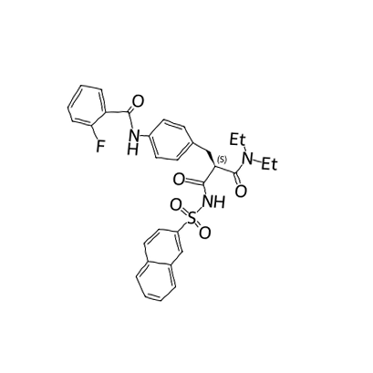 CCN(CC)C(=O)[C@H](Cc1ccc(NC(=O)c2ccccc2F)cc1)C(=O)NS(=O)(=O)c1ccc2ccccc2c1